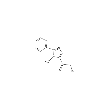 Cn1c(C(=O)CBr)cnc1-c1ccccc1